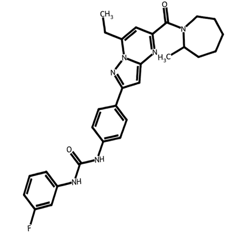 CCc1cc(C(=O)N2CCCCCC2C)nc2cc(-c3ccc(NC(=O)Nc4cccc(F)c4)cc3)nn12